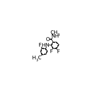 CNC(=O)c1ccc(F)c(F)c1Nc1ccc(C)cc1F